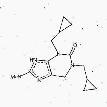 CNc1nc2c([nH]1)N(CC1CC1)C(=O)N(CC1CC1)C2